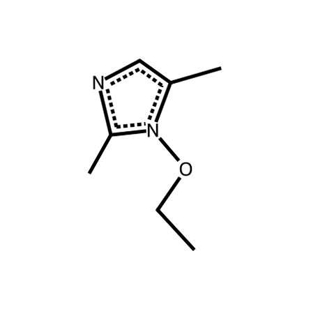 CCOn1c(C)cnc1C